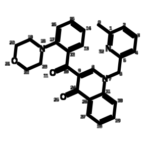 Cc1cccc(Cn2cc(C(=O)c3ccccc3N3CCOCC3)c(=O)c3ccccc32)n1